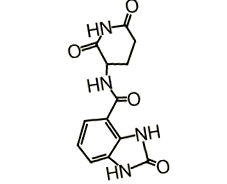 O=C1CCC(NC(=O)c2cccc3[nH]c(=O)[nH]c23)C(=O)N1